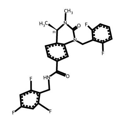 C[C@@H]1c2ccc(C(=O)NCc3c(F)cc(F)cc3F)cc2N(Cc2c(F)cccc2F)C(=O)N1C